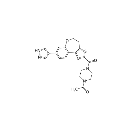 CC(=O)N1CCN(C(=O)c2nc3c(s2)CCOc2cc(-c4cn[nH]c4)ccc2-3)CC1